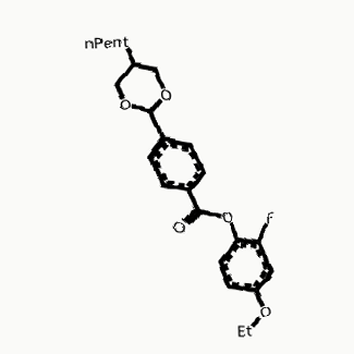 CCCCCC1COC(c2ccc(C(=O)Oc3ccc(OCC)cc3F)cc2)OC1